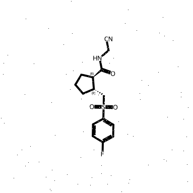 N#CCNC(=O)[C@@H]1CCC[C@H]1CS(=O)(=O)c1ccc(F)cc1